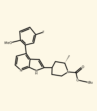 COc1ccc(F)cc1-c1ccnc2[nH]c(C3CCN(C(=O)OC(C)(C)C)[C@@H](C)C3)cc12